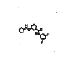 O=C(Nc1cc(F)cc(F)c1)c1cccc(SNC2CCCC2)c1